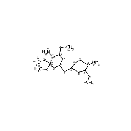 CCC1CC(CC2CC(CC)C(N)C(CC)(CC)C2)CCC1N